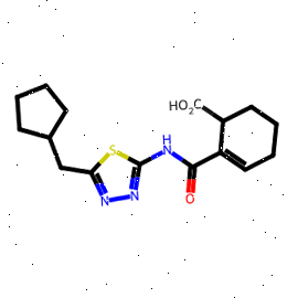 O=C(Nc1nnc(CC2CCCC2)s1)C1=CCCCC1C(=O)O